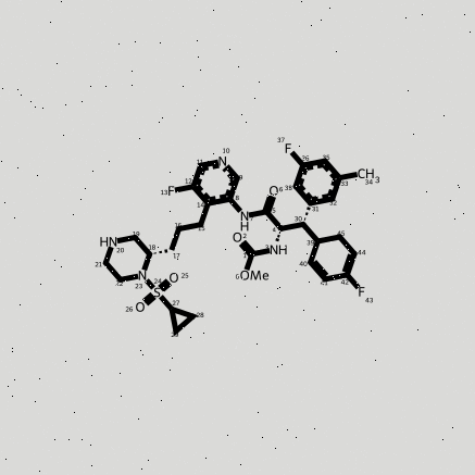 COC(=O)N[C@H](C(=O)Nc1cncc(F)c1CCC[C@H]1CNCCN1S(=O)(=O)C1CC1)[C@H](c1cc(C)cc(F)c1)C1C=CC(F)=CC1